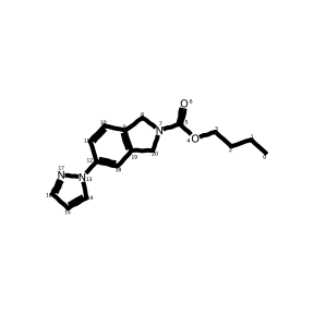 CCCCOC(=O)N1Cc2ccc(-n3cccn3)cc2C1